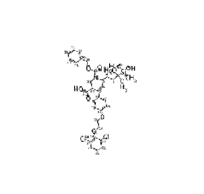 CC(C)(CCC1C=C(c2ccc(OCCOc3c(Cl)cccc3Cl)cc2)C(C(=O)O)CN1C(=O)OCc1ccccc1)[Si](C)(C)O